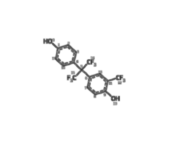 Oc1ccc(C(c2ccc(O)c(C(F)(F)F)c2)(C(F)(F)F)C(F)(F)F)cc1